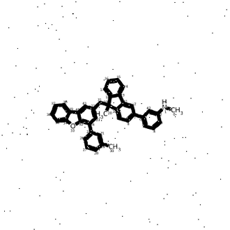 CNc1cccc(-c2ccc3c(c2)-c2ccccc2C3(C)Cc2cc(-c3cccc(C)c3)c3oc4ccccc4c3c2)c1